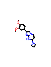 COc1ccc(-c2cn3c(n2)NC(N2CCC2)C=C3)cc1OC